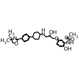 CC1(C)COC(c2ccc(C3CCC(NC[C@H](O)COc4ccc(O)c(NS(C)(=O)=O)c4)CC3)cc2)=N1